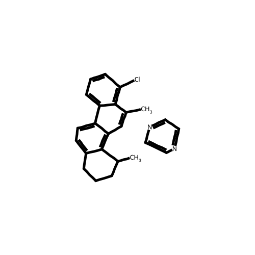 Cc1cc2c3c(ccc2c2cccc(Cl)c12)CCCC3C.c1cnccn1